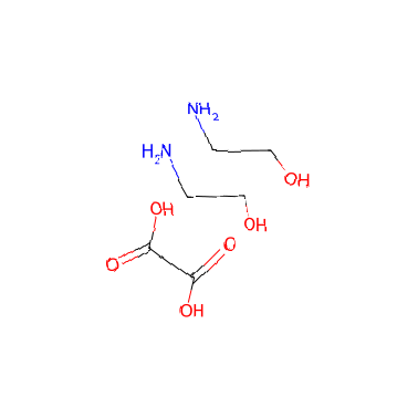 NCCO.NCCO.O=C(O)C(=O)O